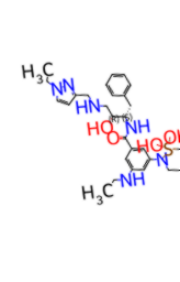 CCNc1cc(C(=O)N[C@@H](Cc2ccccc2)[C@H](O)CNCc2ccn(CC)n2)cc(N2CCCCS2(O)O)c1